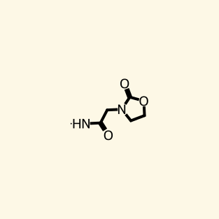 [NH]C(=O)CN1CCOC1=O